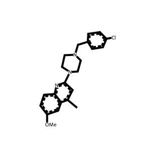 COc1ccc2nc(N3CCN(Cc4ccc(Cl)cc4)CC3)cc(C)c2c1